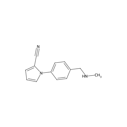 CNCc1ccc(-n2cccc2C#N)cc1